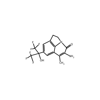 Cc1c(N)c(=O)n2c3c(cc(C(O)(C(F)(F)F)C(F)(F)F)cc13)CC2